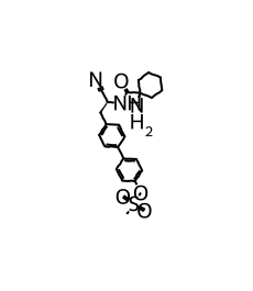 CS(=O)(=O)Oc1ccc(-c2ccc(C[C@@H](C#N)NC(=O)C3(N)CCCCC3)cc2)cc1